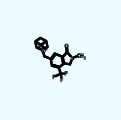 CN1Cc2c(cc(CN3CC4CC(C3)C4(F)F)cc2C(F)(F)F)C1=O